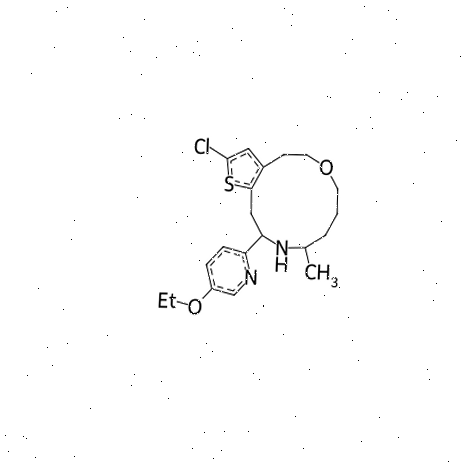 CCOc1ccc(C2Cc3sc(Cl)cc3CCOCCCC(C)N2)nc1